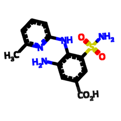 Cc1cccc(Nc2c(N)cc(C(=O)O)cc2S(N)(=O)=O)n1